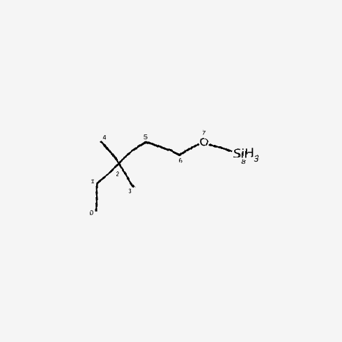 CCC(C)(C)CCO[SiH3]